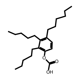 CCCCCCc1ccc(OC(=O)O)c(CCCCC)c1CCCCC